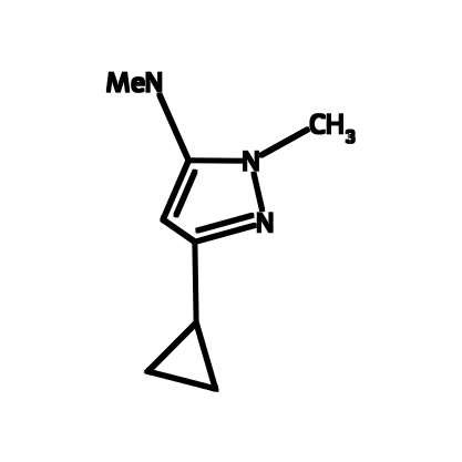 CNc1cc(C2CC2)nn1C